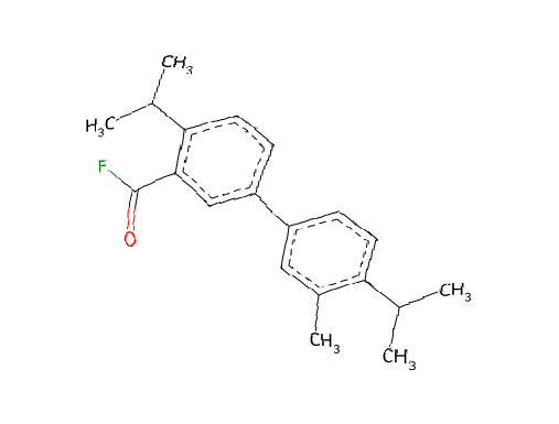 Cc1cc(-c2ccc(C(C)C)c(C(=O)F)c2)ccc1C(C)C